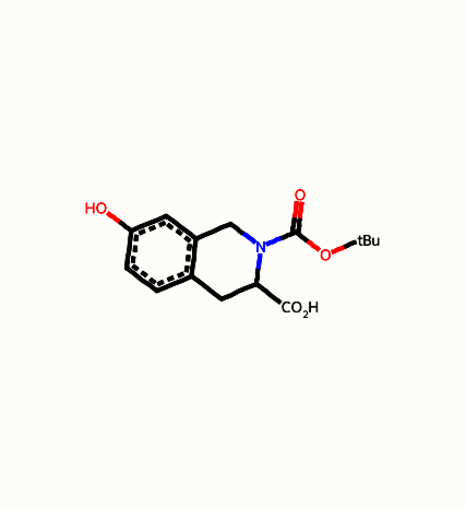 CC(C)(C)OC(=O)N1Cc2cc(O)ccc2CC1C(=O)O